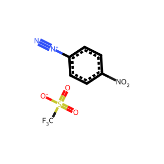 N#[N+]c1ccc([N+](=O)[O-])cc1.O=S(=O)([O-])C(F)(F)F